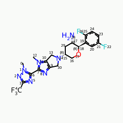 Cn1nc(C(F)(F)F)nc1-c1nc2c(n1C)CN([C@H]1CO[C@H](c3cc(F)ccc3F)[C@@H](N)C1)C2